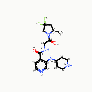 N#C[C@@H]1CC(F)(F)CN1C(=O)CNC(=O)c1ccncc1NC1CCNCC1